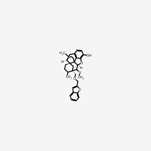 COC1[C@@H]2Oc3c(O)ccc4c3C23CCN(C)[C@H](C4)[C@]32CCC(C)[C@@]1(COCc1cc3ccccc3s1)C2